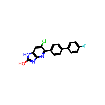 Oc1nc2nc(-c3ccc(-c4ccc(F)cc4)cc3)c(Cl)cc2[nH]1